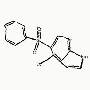 O=S(=O)(c1ccccc1)c1cnc2[nH]ccc2c1Cl